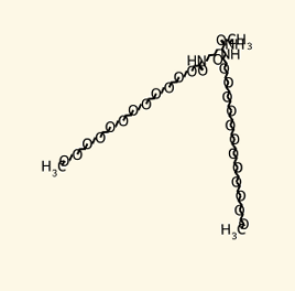 CNC(=O)[C@H](CCCCNC(=O)COCCOCCOCCOCCOCCOCCOCCOCCOCCOCCOCCOC)NC(=O)COCCOCCOCCOCCOCCOCCOCCOCCOCCOCCOCCOC